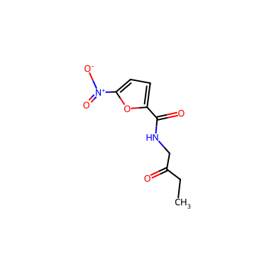 CCC(=O)CNC(=O)c1ccc([N+](=O)[O-])o1